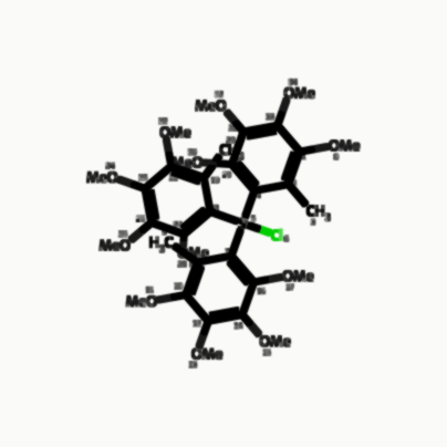 COc1c(C)c([Si](Cl)(c2c(C)c(OC)c(OC)c(OC)c2OC)c2c(C)c(OC)c(OC)c(OC)c2OC)c(OC)c(OC)c1OC